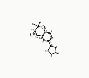 CC1(C)Oc2ccc(C3CCCC3)cc2C2OC21